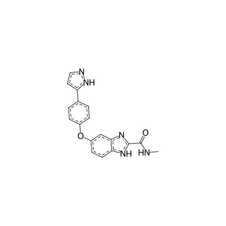 CNC(=O)c1nc2cc(Oc3ccc(-c4ccn[nH]4)cc3)ccc2[nH]1